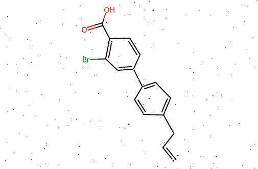 C=CCc1ccc(-c2ccc(C(=O)O)c(Br)c2)cc1